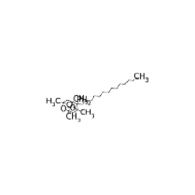 CCCCCCCCCCCCCCC1(P)C2(C)CC3(C)OC(C)(CC1(C)O3)O2